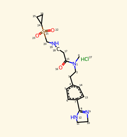 CN(CCc1ccc(C2=NCCN2)cc1)C(=O)CCNCS(=O)(=O)C1CC1.Cl